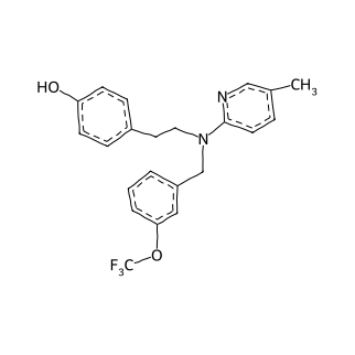 Cc1ccc(N(CCc2ccc(O)cc2)Cc2cccc(OC(F)(F)F)c2)nc1